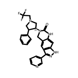 O=C1Nc2cc3[nH]nc(-c4cccnc4)c3cc2CN1[C@@H]1CN(CC(F)(F)F)CC1c1ccccc1